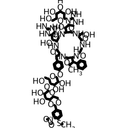 CCC(c1ccccc1)C1NC(=O)CNC(=O)C(CO)NC(=O)C(C(O)C2CNC(=N)N2C2OC(CO)C(O)C(O)C2O)NC(=O)C(C(O)C2CNC(=N)N2)NC(=O)C(Cc2ccc(OC3OC(CO)C(OC4OC5COC(c6ccc(SC)c([N+](=O)[O-])c6)OC5C(O)C4O)C(O)C3O)cc2)NC1=O